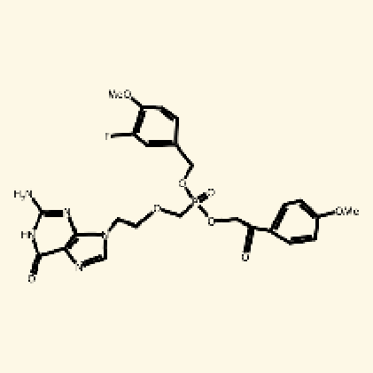 COc1ccc(C(=O)COP(=O)(COCCn2cnc3c(=O)[nH]c(N)nc32)OCc2ccc(OC)c(F)c2)cc1